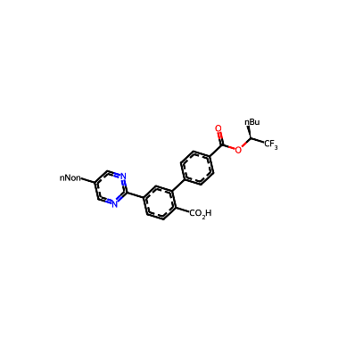 CCCCCCCCCc1cnc(-c2ccc(C(=O)O)c(-c3ccc(C(=O)O[C@@H](CCCC)C(F)(F)F)cc3)c2)nc1